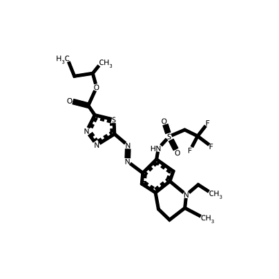 CCC(C)OC(=O)c1nnc(N=Nc2cc3c(cc2NS(=O)(=O)CC(F)(F)F)N(CC)C(C)CC3)s1